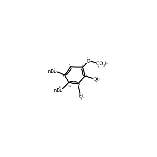 CCCCc1cc(OC(=O)O)c(O)c(CC)c1CCCC